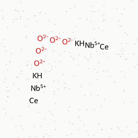 [Ce].[Ce].[KH].[KH].[Nb+5].[Nb+5].[O-2].[O-2].[O-2].[O-2].[O-2]